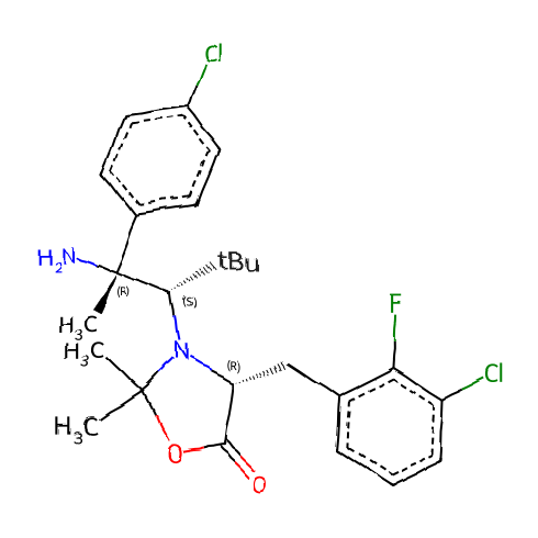 CC(C)(C)[C@H](N1[C@H](Cc2cccc(Cl)c2F)C(=O)OC1(C)C)[C@](C)(N)c1ccc(Cl)cc1